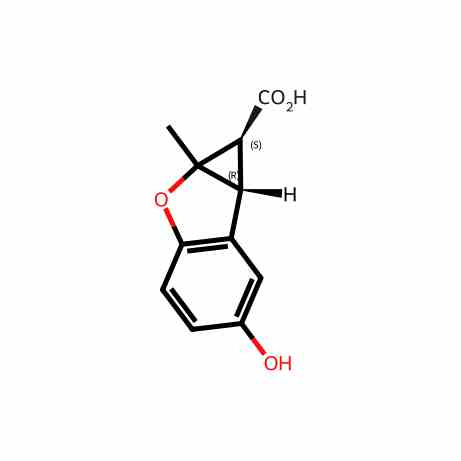 CC12Oc3ccc(O)cc3[C@H]1[C@@H]2C(=O)O